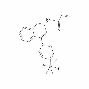 C=CC(=O)NC1Cc2ccccc2N(c2ccc(S(F)(F)(F)(F)F)cc2)C1